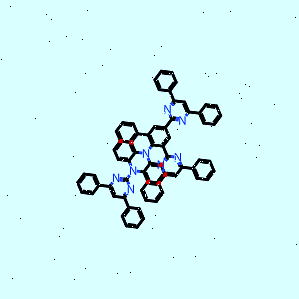 c1ccc(-c2cc(-c3ccccc3)nc(-c3cc(-c4ccccc4)c(N4c5ccccc5N(c5nc(-c6ccccc6)cc(-c6ccccc6)n5)c5ccccc54)c(-c4nc(-c5ccccc5)cc(-c5ccccc5)n4)c3)n2)cc1